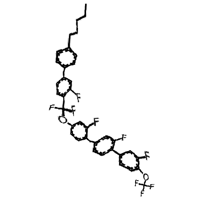 CCCCCc1ccc(-c2ccc(C(F)(F)Oc3ccc(-c4ccc(-c5ccc(OC(F)(F)F)c(F)c5)c(F)c4)c(F)c3)c(F)c2)cc1